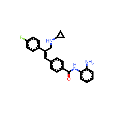 Nc1ccccc1NC(=O)c1ccc(C=C(CNC2CC2)c2ccc(F)cc2)cc1